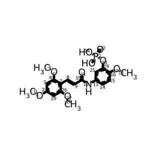 COc1cc(OC)c(C=CC(=O)Nc2ccc(OC)c(OP(=O)(O)O)c2)c(OC)c1